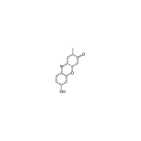 Cc1cc2nc3ccc(O)cc3oc-2cc1=O